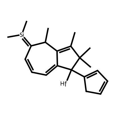 CC1=C2C(=CC=CC(=[Si](C)C)C2C)[C]([Hf])(C2=CC=CC2)C1(C)C